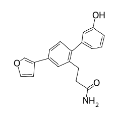 NC(=O)CCc1cc(-c2ccoc2)ccc1-c1cccc(O)c1